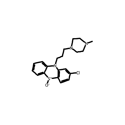 CN1CCN(CCCN2c3ccccc3[S+]([O-])c3ccc(Cl)cc32)CC1